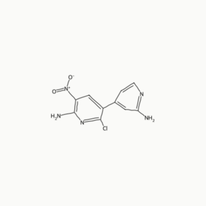 Nc1cc(-c2cc([N+](=O)[O-])c(N)nc2Cl)ccn1